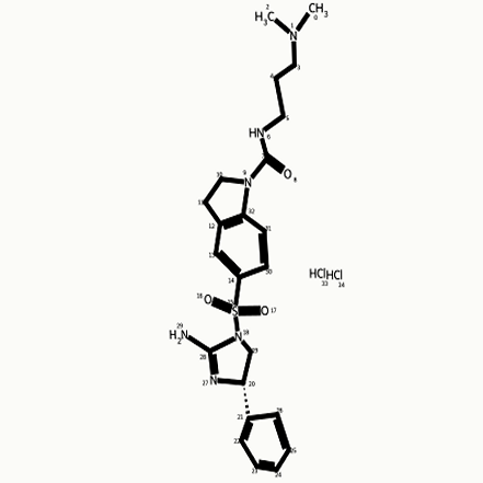 CN(C)CCCNC(=O)N1CCc2cc(S(=O)(=O)N3C[C@H](c4ccccc4)N=C3N)ccc21.Cl.Cl